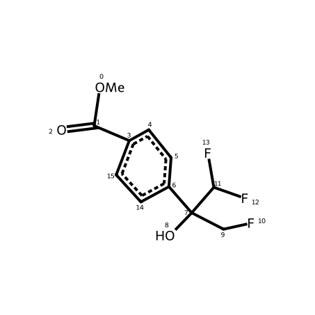 COC(=O)c1ccc(C(O)(CF)C(F)F)cc1